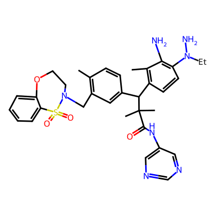 CCN(N)c1ccc(C(c2ccc(C)c(CN3CCOc4ccccc4S3(=O)=O)c2)C(C)(C)C(=O)Nc2cncnc2)c(C)c1N